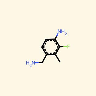 Cc1c(CN)ccc(N)c1F